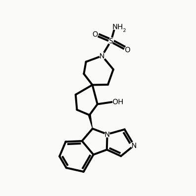 NS(=O)(=O)N1CCC2(CCC([C@@H]3c4ccccc4-c4cncn43)C2O)CC1